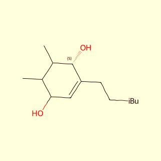 CCC(C)CCC1=CC(O)C(C)C(C)[C@@H]1O